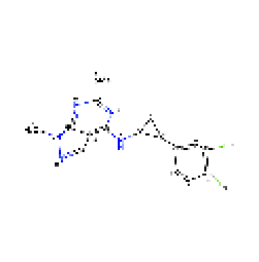 CSc1nc(NC2CC2c2ccc(F)c(F)c2)c2cnn(C)c2n1